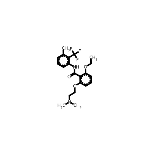 CCOc1cccc(OCCN(C)C)c1C(=O)Nc1cccc(C)c1C(F)(F)F